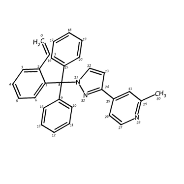 C=Cc1ccccc1C(c1ccccc1)(c1ccccc1)n1ccc(-c2ccnc(C)c2)n1